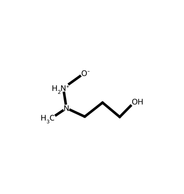 CN(CCCO)[NH2+][O-]